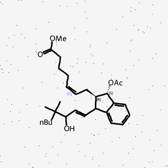 CCCCC(C)(C)C(O)C=CC1c2ccccc2[C@@H](OC(C)=O)[C@@H]1C/C=C\CCCC(=O)OC